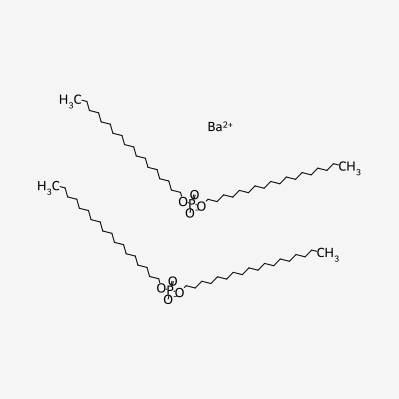 CCCCCCCCCCCCCCCCCCOP(=O)([O-])OCCCCCCCCCCCCCCCCCC.CCCCCCCCCCCCCCCCCCOP(=O)([O-])OCCCCCCCCCCCCCCCCCC.[Ba+2]